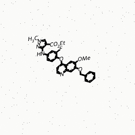 CCOC(=O)c1cn(C)nc1Nc1ccc(Oc2ccnc3cc(OCc4ccccc4)c(OC)cc23)c(F)c1